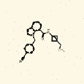 CCC12CC(NC(=O)c3cccc4ccn(Cc5ccc(C#N)cc5)c34)(C1)C2